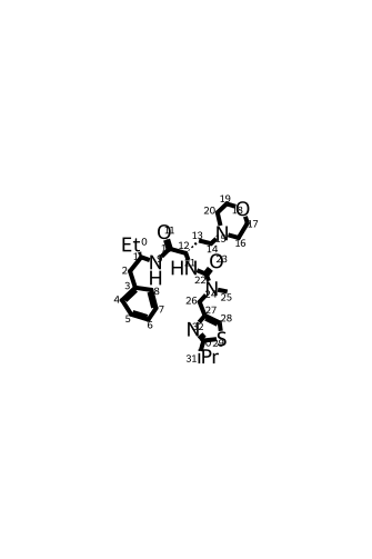 CC[C@H](Cc1ccccc1)NC(=O)[C@H](CCN1CCOCC1)NC(=O)N(C)Cc1csc(C(C)C)n1